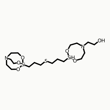 OCCN1CCO[SiH](CCCSCCC[Si]23OCCN(CCO2)CCO3)OCC1